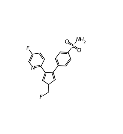 NS(=O)(=O)c1ccc(C2=CC(CF)C=C2c2ccc(F)cn2)cc1